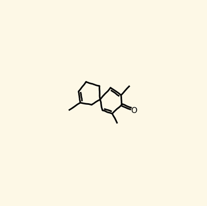 CC1=CCCC2(C=C(C)C(=O)C(C)=C2)C1